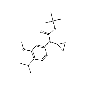 COc1cc(N(C(=O)OC(C)(C)C)C2CC2)ncc1C(C)C